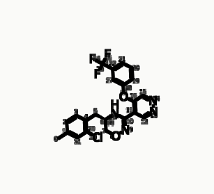 Cc1ccc(C[C@@H]2CON=C(c3cnncc3Oc3cccc(C(F)(F)F)c3)N2)c(Cl)c1